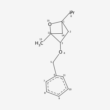 CC(C)C12CC(OCc3ccccc3)C(C)(C1)O2